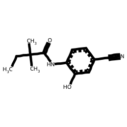 CCC(C)(C)C(=O)Nc1ccc(C#N)cc1O